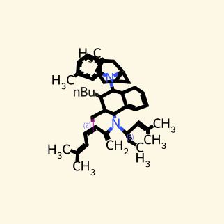 C=C(/C=C\C=C(C)C)N(/C(C=C(C)C)=C/C)C1C2=CC=CCC2C(N(c2cccc(C)c2)C23CC(C)CCC2C3)C(CCCC)C1CI